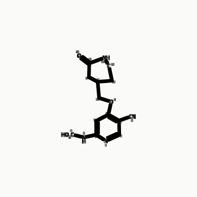 N#Cc1cnc(NC(=O)O)cc1OCC1CCNC(=O)C1